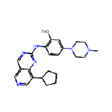 COc1cc(N2CCN(C)CC2)ccc1Nc1ncc2cncc(C3CCCC3)c2n1